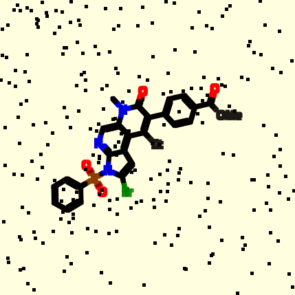 CCc1c(-c2ccc(C(=O)OC)cc2)c(=O)n(C)c2cnc3c(cc(Br)n3S(=O)(=O)c3ccccc3)c12